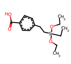 CCO[Si](CC)(CCc1ccc(C(=O)O)cc1)OCC